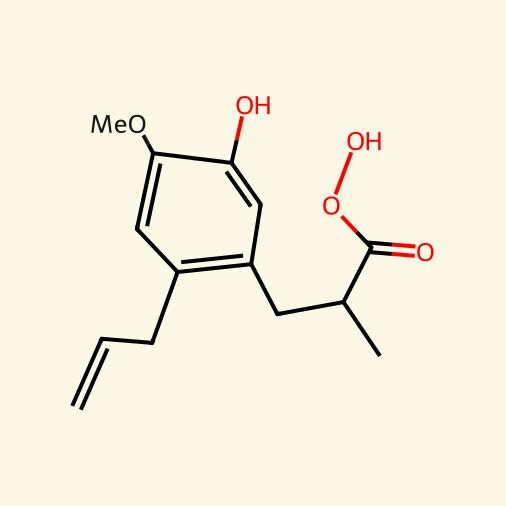 C=CCc1cc(OC)c(O)cc1CC(C)C(=O)OO